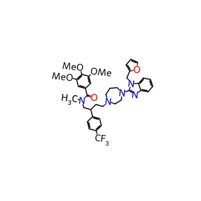 COc1cc(C(=O)N(C)CC(CCN2CCCN(c3nc4ccccc4n3Cc3ccco3)CC2)c2ccc(C(F)(F)F)cc2)cc(OC)c1OC